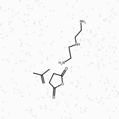 C=C(C)C.NCCNCCN.O=C1CCC(=O)O1